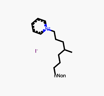 CCCCCCCCCCCCC(C)CCC[n+]1ccccc1.[I-]